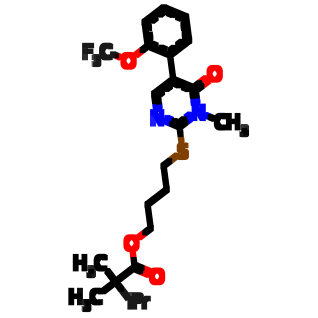 CC(C)C(C)(C)C(=O)OCCCCSc1ncc(-c2ccccc2OC(F)(F)F)c(=O)n1C